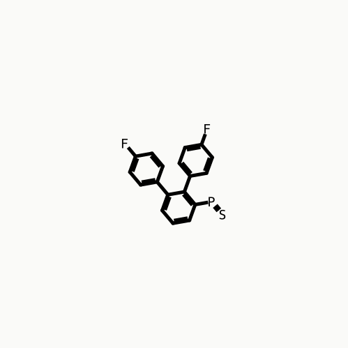 Fc1ccc(-c2cccc(P=S)c2-c2ccc(F)cc2)cc1